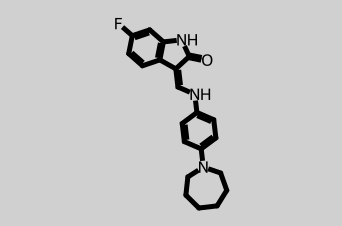 O=C1Nc2cc(F)ccc2C1=CNc1ccc(N2CCCCCC2)cc1